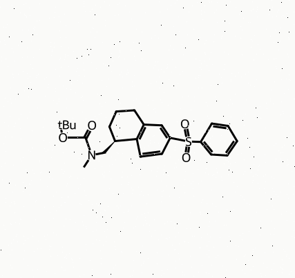 CN(C[C@H]1CCCc2cc(S(=O)(=O)c3ccccc3)ccc21)C(=O)OC(C)(C)C